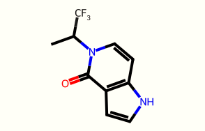 CC(n1ccc2[nH]ccc2c1=O)C(F)(F)F